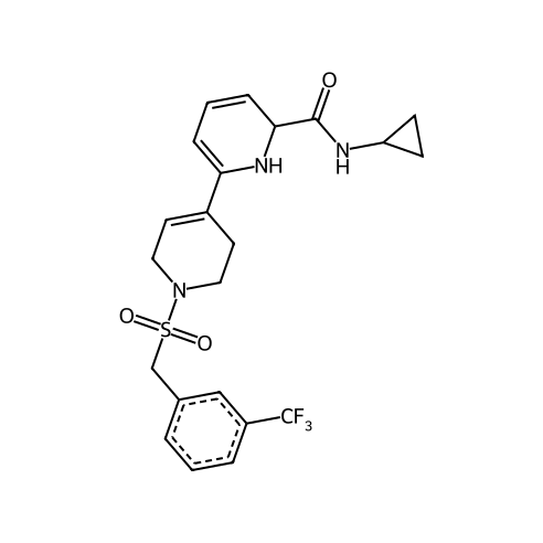 O=C(NC1CC1)C1C=CC=C(C2=CCN(S(=O)(=O)Cc3cccc(C(F)(F)F)c3)CC2)N1